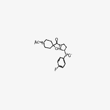 CC(=O)N1CCC(O)(C(=O)N2CCC([S+]([O-])c3ccc(F)cc3)C2)CC1